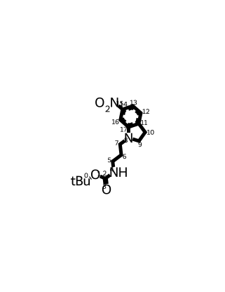 CC(C)(C)OC(=O)NCCCN1CCc2ccc([N+](=O)[O-])cc21